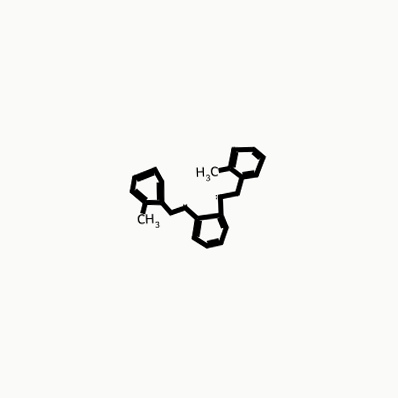 Cc1ccccc1C[C]c1ccccc1[C]Cc1ccccc1C